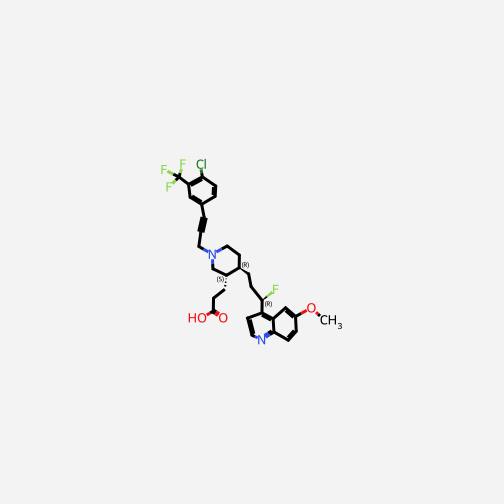 COc1ccc2nccc([C@H](F)CC[C@@H]3CCN(CC#Cc4ccc(Cl)c(C(F)(F)F)c4)C[C@H]3CCC(=O)O)c2c1